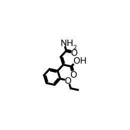 CCOc1ccccc1/C(=C/C(N)=O)C(=O)O